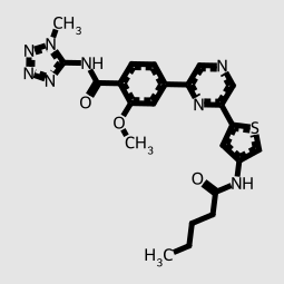 CCCCC(=O)Nc1csc(-c2cncc(-c3ccc(C(=O)Nc4nnnn4C)c(OC)c3)n2)c1